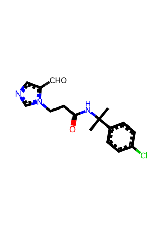 CC(C)(NC(=O)CCn1cncc1C=O)c1ccc(Cl)cc1